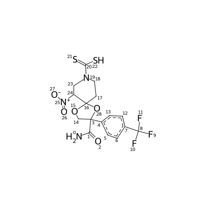 NC(=O)C1(c2ccc(C(F)(F)F)cc2)COC2(CCN(C(=S)S)CC2[N+](=O)[O-])O1